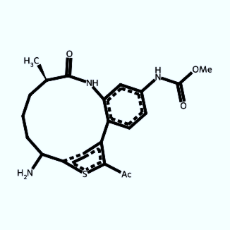 COC(=O)Nc1ccc2c(c1)NC(=O)[C@H](C)CCCC(N)c1cc-2c(C(C)=O)s1